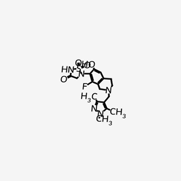 Cc1nn(C)c(C)c1CN1CCc2cc(O)c(N3CC(=O)NS3(=O)=O)c(F)c2C1